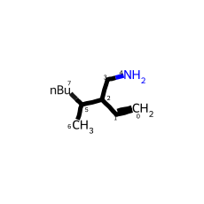 C=CC(CN)C(C)CCCC